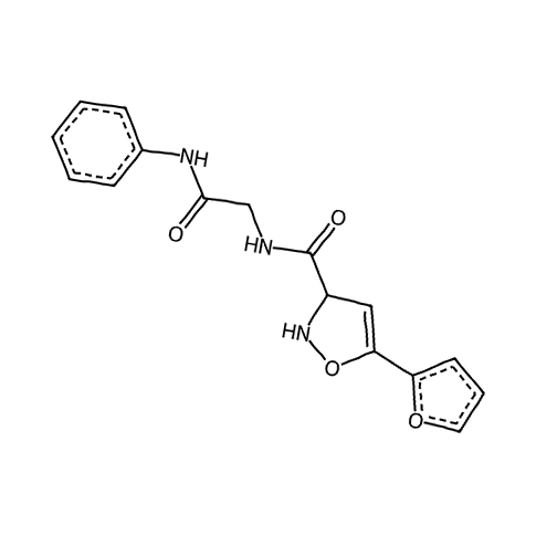 O=C(CNC(=O)C1C=C(c2ccco2)ON1)Nc1ccccc1